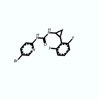 O=C(Nc1ccc(Br)cn1)NC1CC1c1c(F)cccc1F